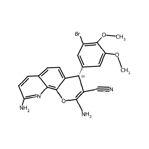 COc1cc([C@@H]2C(C#N)=C(N)Oc3c2ccc2ccc(N)nc32)cc(Br)c1OC